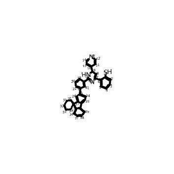 Sc1ccccc1C1=CC(c2ccncc2)NC(c2cccc(-c3ccc4c(c3)C3(CCCCC3)c3ccccc3-4)c2)=N1